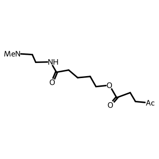 CNCCNC(=O)CCCCOC(=O)CCC(C)=O